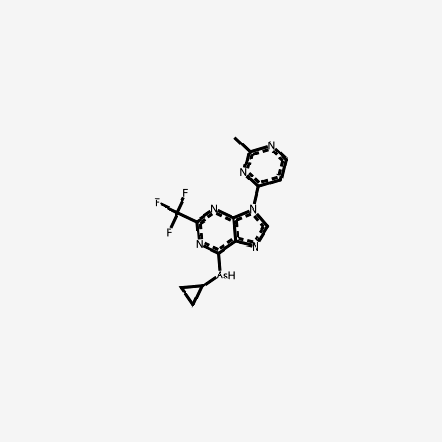 Cc1nccc(-n2cnc3c([AsH]C4CC4)nc(C(F)(F)F)nc32)n1